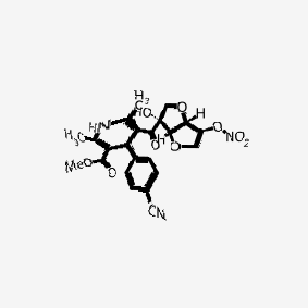 COC(=O)C1=C(C)NC(C)=C(C(=O)[C@@]2(O)CO[C@@H]3[C@@H](O[N+](=O)[O-])CO[C@@H]32)C1c1ccc(C#N)cc1